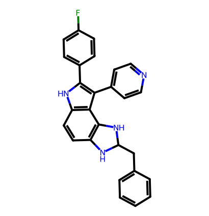 Fc1ccc(-c2[nH]c3ccc4c(c3c2-c2ccncc2)NC(Cc2ccccc2)N4)cc1